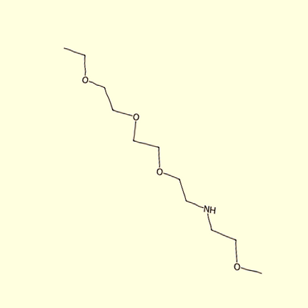 CCOCCOCCOCCNCCOC